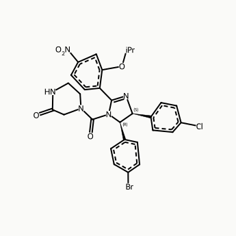 CC(C)Oc1cc([N+](=O)[O-])ccc1C1=N[C@@H](c2ccc(Cl)cc2)[C@@H](c2ccc(Br)cc2)N1C(=O)N1CCNC(=O)C1